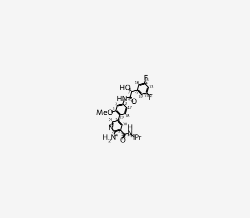 COc1cc(NC(=O)[C@H](O)c2cc(F)cc(F)c2)ccc1-c1cnc(N)c(C(=O)NC(C)C)c1